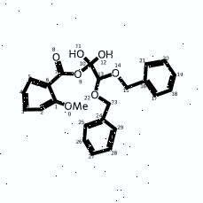 COc1ccccc1C(=O)OC(O)(O)C(OCc1ccccc1)OCc1ccccc1